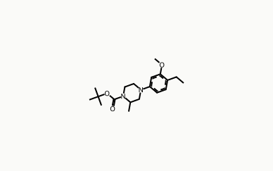 CCc1ccc(N2CCN(C(=O)OC(C)(C)C)C(C)C2)cc1OC